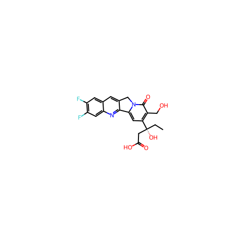 CC[C@@](O)(CC(=O)O)c1cc2n(c(=O)c1CO)Cc1cc3cc(F)c(F)cc3nc1-2